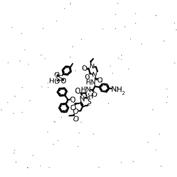 CCN1CCN(C(=O)N[C@H](C(=O)N[C@@H]2C(=O)N3C(C(=O)OC(c4ccccc4)c4ccccc4)=C(COC(C)=O)CS[C@H]23)c2ccc(N)cc2)C(=O)C1=O.Cc1ccc(S(=O)(=O)O)cc1